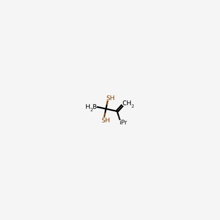 BC(S)(S)C(=C)C(C)C